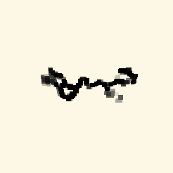 NC(CCOc1cccc2[nH]ncc12)c1ccsc1